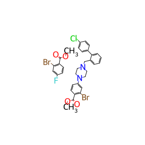 COC(=O)c1ccc(F)cc1Br.COC(=O)c1ccc(N2CCN(Cc3ccccc3-c3ccc(Cl)cc3)CC2)cc1Br